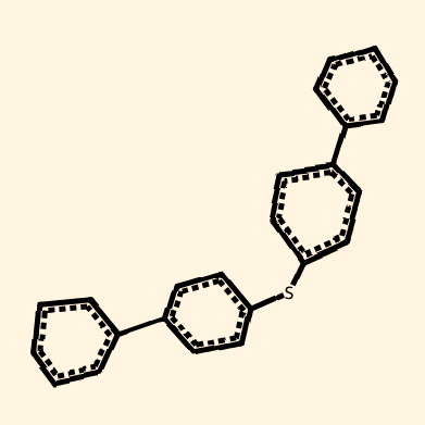 c1ccc(-c2ccc(Sc3ccc(-c4ccccc4)cc3)cc2)cc1